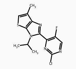 Cc1csc2c1nc(-c1nc(Cl)ncc1F)n2C(C)C